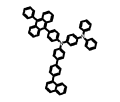 c1ccc(-c2c3ccccc3c(-c3ccc(N(c4ccc(-c5ccc(-c6cccc7ccccc67)cc5)cc4)c4ccc(N(c5ccccc5)c5ccccc5)cc4)cc3)c3ccccc23)cc1